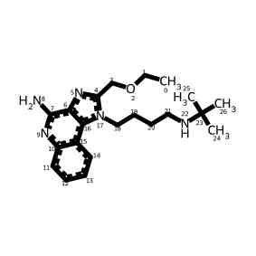 CCOCc1nc2c(N)nc3ccccc3c2n1CCCCNC(C)(C)C